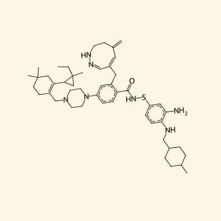 C=C1/C=C(Cc2cc(N3CCN(CC4=C(C5CC5(C)CC)CC(C)(C)CC4)CC3)ccc2C(=O)NSc2ccc(NCC3CCC(C)CC3)c(N)c2)\C=N/NCC1